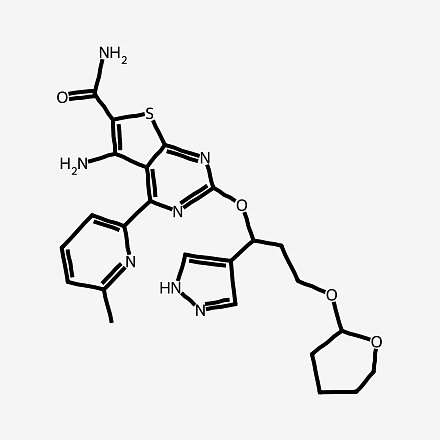 Cc1cccc(-c2nc(OC(CCOC3CCCCO3)c3cn[nH]c3)nc3sc(C(N)=O)c(N)c23)n1